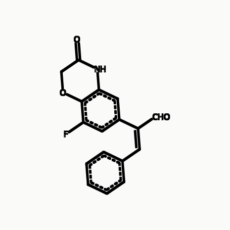 O=C/C(=C/c1ccccc1)c1cc(F)c2c(c1)NC(=O)CO2